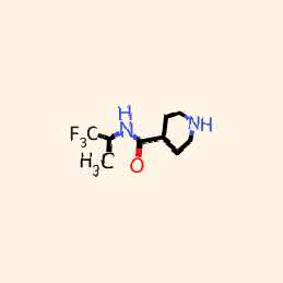 CC(NC(=O)C1CCNCC1)C(F)(F)F